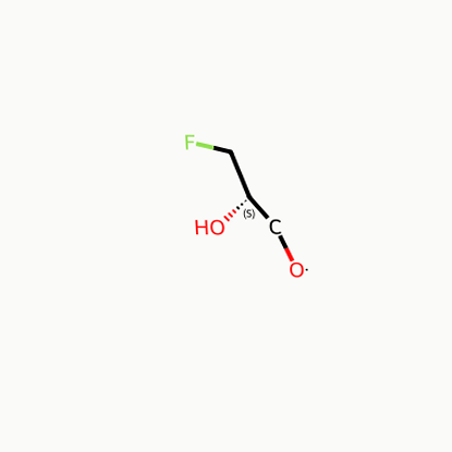 [O]C[C@H](O)CF